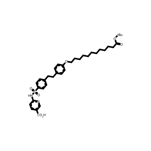 CC(C)(C)OC(=O)CCCCCCCCCCCOc1ccc(CCc2ccc(S(=O)(=O)Nc3ccc(C(=O)O)cn3)cc2)cc1